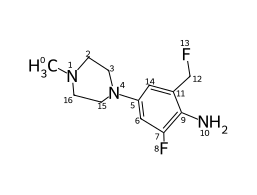 CN1CCN(c2cc(F)c(N)c(CF)c2)CC1